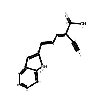 N#C/C(=C\C=C\c1cc2ccccc2[nH]1)C(=O)O